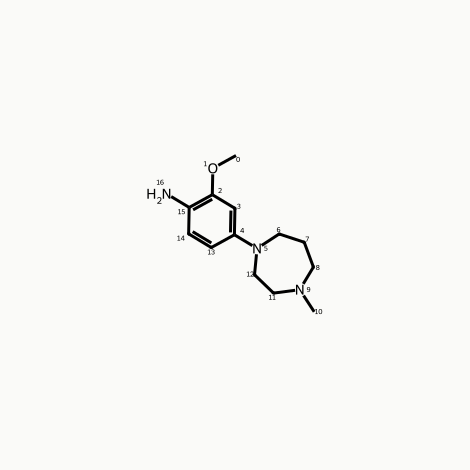 COc1cc(N2CCCN(C)CC2)ccc1N